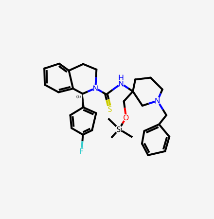 C[Si](C)(C)OCC1(NC(=S)N2CCc3ccccc3[C@@H]2c2ccc(F)cc2)CCCN(Cc2ccccc2)C1